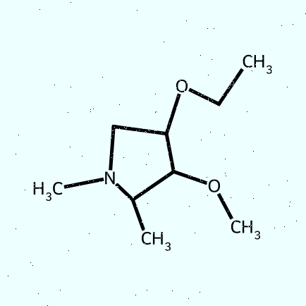 CCOC1CN(C)C(C)C1OC